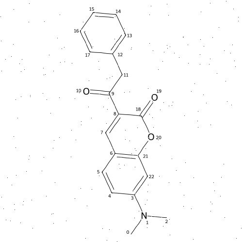 CN(C)c1ccc2cc(C(=O)Cc3ccccc3)c(=O)oc2c1